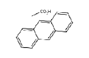 CC(=O)O.c1ccc2cc3ccccc3cc2c1